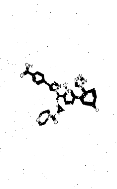 O=C(O)c1ccc(-c2cnn(C(C[C@@H]3C[C@@H]3C(=O)N3CCOCC3)c3ccc(-c4cc(Cl)ccc4-n4cnnn4)c[n+]3[O-])c2)cc1